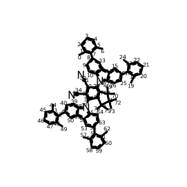 Cc1cccc(C)c1-c1ccc2c(c1)c1cc(-c3c(C)cccc3C)ccc1n2-c1c(C#N)c(C#N)c(-n2c3ccc(-c4c(C)cccc4C)cc3c3cc(-c4c(C)cccc4C)ccc32)c2c1C(C)(C)C(C)(C)C2(C)C